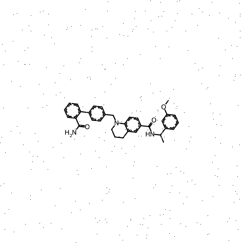 COc1cccc(C(C)NC(=O)c2ccc3c(c2)CCCN3Cc2ccc(-c3ccccc3C(N)=O)cc2)c1